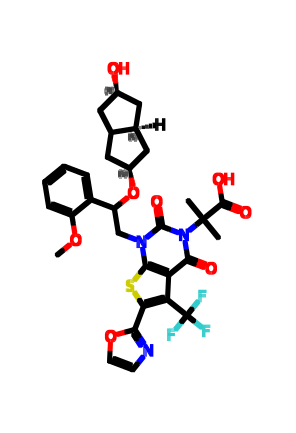 COc1ccccc1C(Cn1c(=O)n(C(C)(C)C(=O)O)c(=O)c2c(C(F)(F)F)c(-c3ncco3)sc21)O[C@H]1CC2C[C@@H](O)C[C@H]2C1